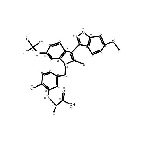 COc1ccc2c(-c3c(C)n(Cc4ccc(Cl)c(O[C@H](C)C(=O)O)c4)c4cc(OC(F)(F)F)ccc34)noc2c1